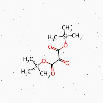 C[Si](C)(C)OC(=O)C(=O)C(=O)O[Si](C)(C)C